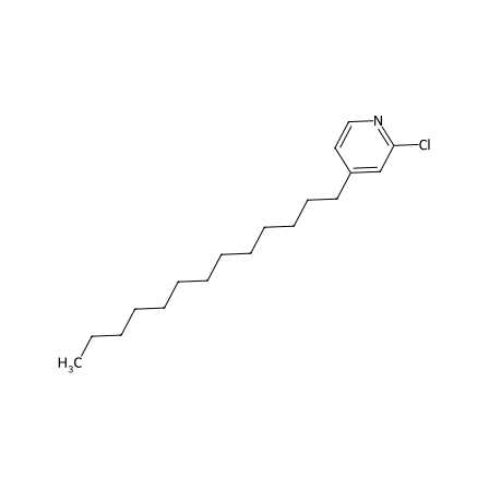 CCCCCCCCCCCCCc1ccnc(Cl)c1